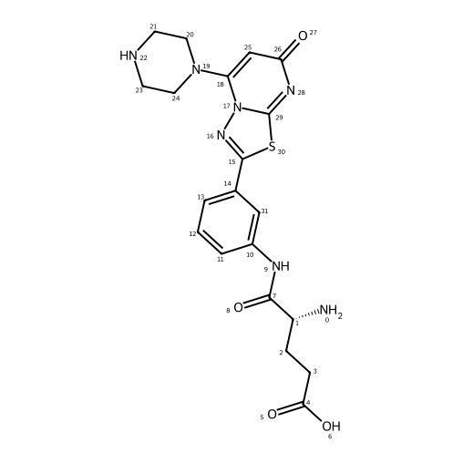 N[C@H](CCC(=O)O)C(=O)Nc1cccc(-c2nn3c(N4CCNCC4)cc(=O)nc3s2)c1